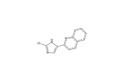 ClC1=NC=S(c2ccc3ccccc3n2)N1